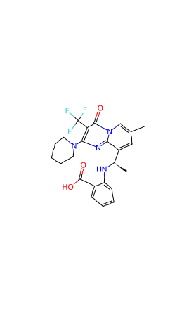 Cc1cc([C@@H](C)Nc2ccccc2C(=O)O)c2nc(N3CCCCC3)c(C(F)(F)F)c(=O)n2c1